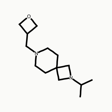 CC(C)N1CC2(CCN(CC3COC3)CC2)C1